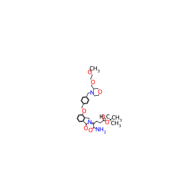 COCCOCC1COCCN1Cc1ccc(COc2cccc3c2CN([C@@H](CCC(=O)OC(C)(C)C)C(N)=O)C3=O)cc1